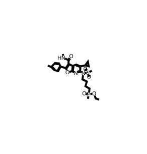 CCOP(C)(=O)CCCCN(c1nc2oc(-c3ccc(C)cc3)c(C(=O)NC)c2cc1C1CC1)S(C)(=O)=O